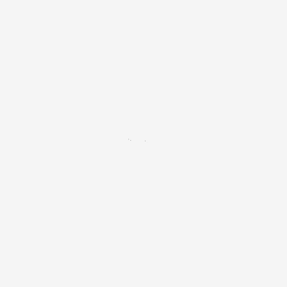 CCCCN(CCCC)NC